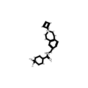 O=C(NCc1ccc2c(c1)CCN(C1=CC=C1)CC2)C1CCC(F)(F)CC1